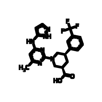 Cc1cc(Nc2ccn[nH]2)nc(N2C[C@H](C(=O)O)C[C@H](c3cccc(C(F)(F)F)c3)C2)n1